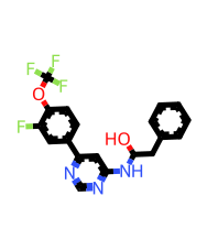 OC(Cc1ccccc1)Nc1cc(-c2ccc(OC(F)(F)F)c(F)c2)ncn1